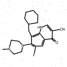 CN1CCN(c2c(F)cc3c(=O)c(C#N)c[nH]c3c2CC2CCCCC2)CC1